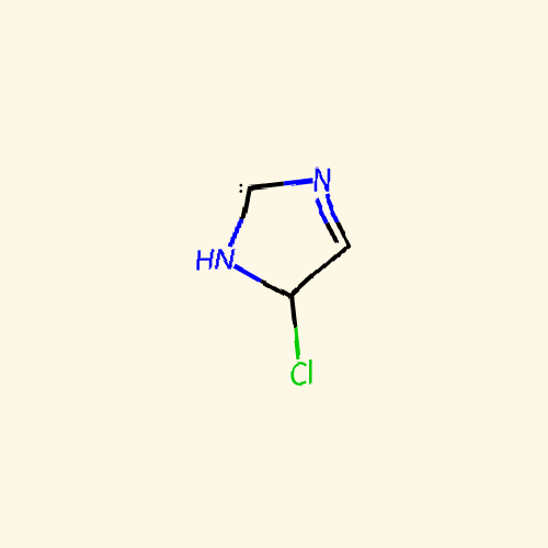 ClC1C=N[C]N1